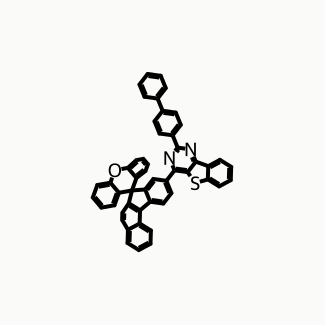 c1ccc(-c2ccc(-c3nc(-c4ccc5c(c4)C4(c6ccccc6Oc6ccccc64)c4ccc6ccccc6c4-5)c4sc5ccccc5c4n3)cc2)cc1